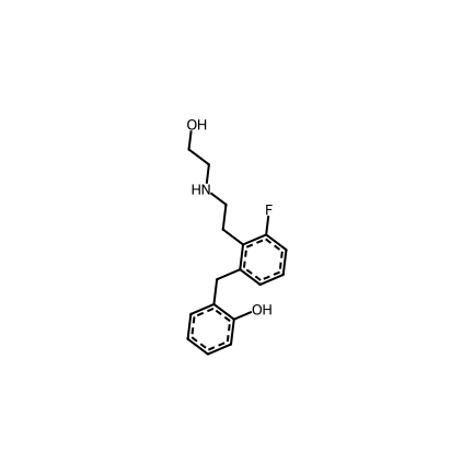 OCCNCCc1c(F)cccc1Cc1ccccc1O